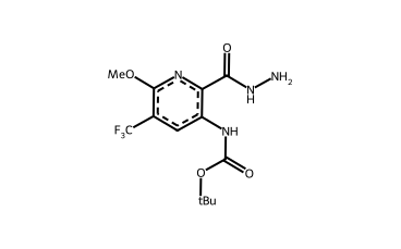 COc1nc(C(=O)NN)c(NC(=O)OC(C)(C)C)cc1C(F)(F)F